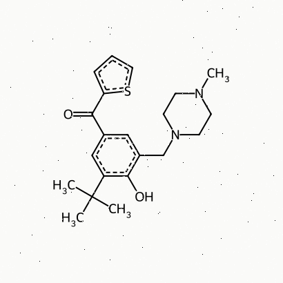 CN1CCN(Cc2cc(C(=O)c3cccs3)cc(C(C)(C)C)c2O)CC1